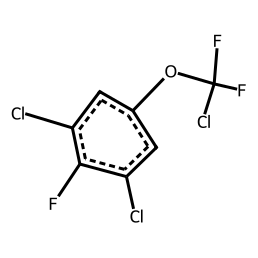 Fc1c(Cl)cc(OC(F)(F)Cl)cc1Cl